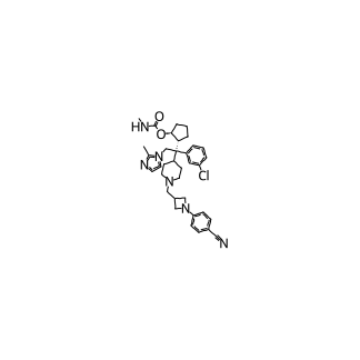 CNC(=O)O[C@H]1CCC[C@@H]1C(Cn1ccnc1C)(c1cccc(Cl)c1)C1CCN(CC2CN(c3ccc(C#N)cc3)C2)CC1